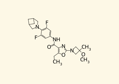 CCc1oc(N2CC(C)(OC)C2)nc1C(=O)Nc1cc(F)c(N2CC3CC(C3)C2)c(F)c1